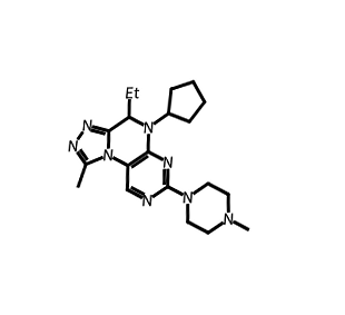 CCC1c2nnc(C)n2-c2cnc(N3CCN(C)CC3)nc2N1C1CCCC1